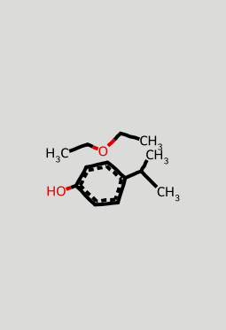 CC(C)c1ccc(O)cc1.CCOCC